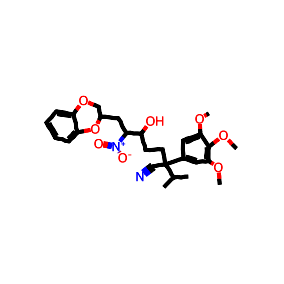 COc1cc(C(C#N)(CCC(O)C(CC2COc3ccccc3O2)[N+](=O)[O-])C(C)C)cc(OC)c1OC